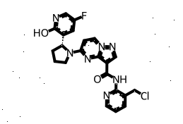 O=C(Nc1ncccc1CCl)c1cnn2ccc(N3CCC[C@@H]3c3cc(F)cnc3O)nc12